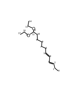 CCC=CC=CCCCCCC(OCC)OCC